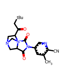 Cc1cc(N2C(=O)C3CN4CC(C(=O)CC(C)(C)C)[N+]3(C4)C2=O)cnc1C#N